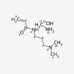 C=CC(=O)NCCCN(C)C.CN.Cl